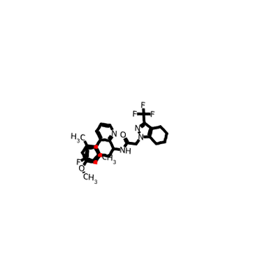 COC1=CC(C)=C(c2cccnc2C(CC2=CC(F)=CC2)NC(=O)Cn2nc(C(F)(F)F)c3c2CCCC3)C(C)C1